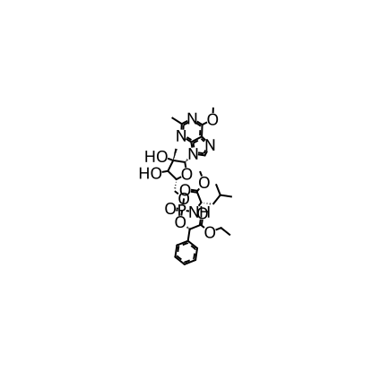 CCOC(=O)[C@@H](OP(=O)(N[C@@H](CC(C)C)C(=O)OC)OC[C@H]1O[C@@H](n2cnc3c(OC)nc(C)nc32)[C@@](C)(O)C1O)c1ccccc1